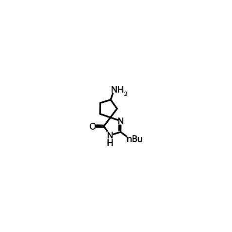 CCCCC1=NC2(CCC(N)C2)C(=O)N1